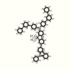 CC1(C)c2cc(-c3ccc4c(c3)c3ccccc3n4-c3ccccc3)ccc2-c2ccc(N(c3ccc(-c4cccc(-c5ccccc5)c4)cc3)c3ccc(-c4cccc(-c5ccccc5)c4)cc3)cc21